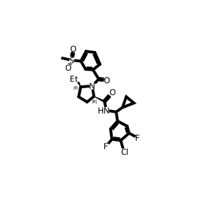 CC[C@@H]1CC[C@H](C(=O)NC(c2cc(F)c(Cl)c(F)c2)C2CC2)N1C(=O)c1cccc(S(C)(=O)=O)c1